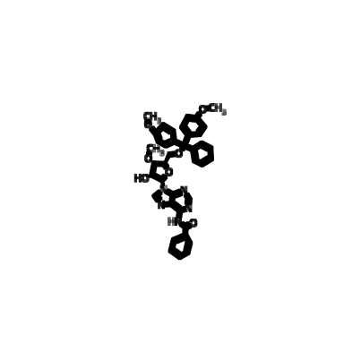 COc1ccc(C(OC[C@H]2O[C@@H](n3cnc4c(NC(=O)c5ccccc5)ncnc43)[C@H](O)[C@@H]2OC)(c2ccccc2)c2ccc(OC)cc2)cc1